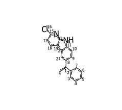 C=C(c1ccccc1)c1ccc2[nH]c3nc(Cl)ccc3c2c1